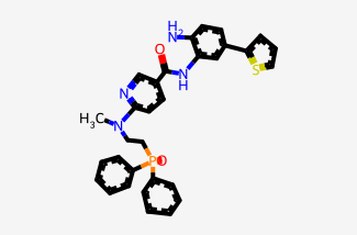 CN(CCP(=O)(c1ccccc1)c1ccccc1)c1ccc(C(=O)Nc2cc(-c3cccs3)ccc2N)cn1